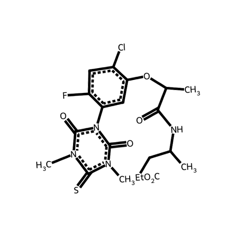 CCOC(=O)CC(C)NC(=O)C(C)Oc1cc(-n2c(=O)n(C)c(=S)n(C)c2=O)c(F)cc1Cl